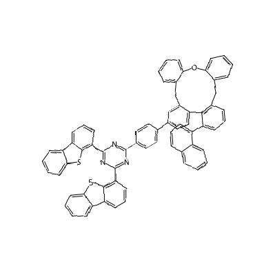 c1ccc2c(c1)Cc1cc(-c3ccc(-c4nc(-c5cccc6c5sc5ccccc56)nc(-c5cccc6c5sc5ccccc56)n4)cc3)ccc1-c1c(cccc1-c1cccc3ccccc13)Cc1ccccc1O2